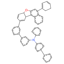 C1=CCCC(c2cc3c(c4ccccc24)C2C=C(c4cccc(-c5cccc(N(c6ccccc6)c6ccc(-c7ccccc7)cc6)c5)c4)C=CC2O3)=C1